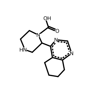 O=C(O)N1CCNCC1c1ncnc2c1CCCC2